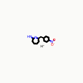 N=c1ccccc(Cc2ccc([N+](=O)[O-])cc2)n1.[H+]